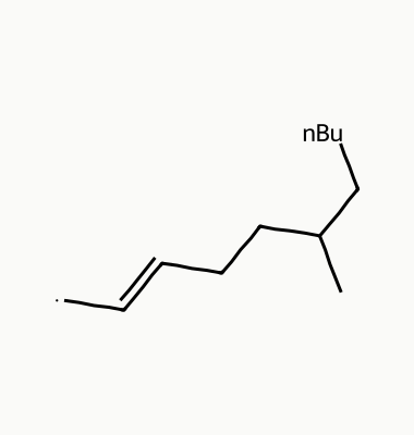 [CH2]C=CCCC(C)CCCC[CH2]